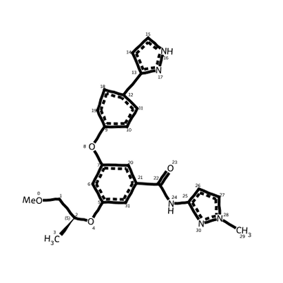 COC[C@H](C)Oc1cc(Oc2ccc(-c3cc[nH]n3)cc2)cc(C(=O)Nc2ccn(C)n2)c1